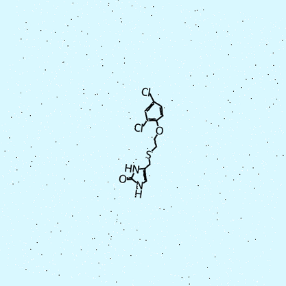 O=c1[nH]cc(CSCCOc2ccc(Cl)cc2Cl)[nH]1